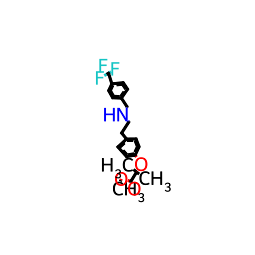 COC(=O)C(C)(C)Oc1ccc(CCNCc2ccc(C(F)(F)F)cc2)cc1